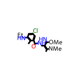 CCNc1cc(Cl)cc(C(=O)NC/C(C(=N)OC)=C(\C)NC)c1C